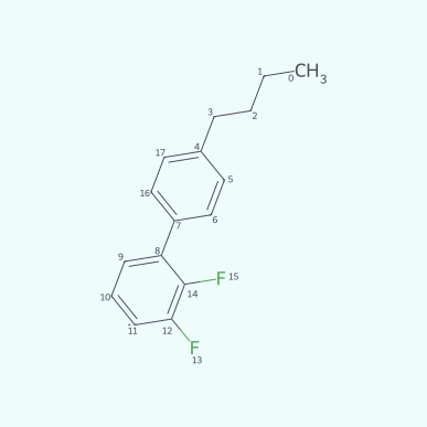 CCCCc1ccc(-c2cc[c]c(F)c2F)cc1